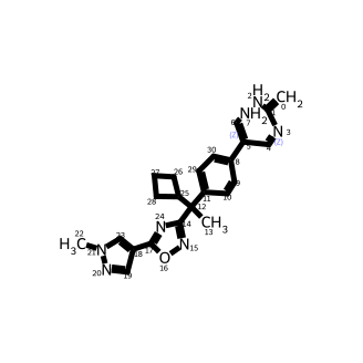 C=C(N)/N=C\C(=C/N)c1ccc(C(C)(c2noc(-c3cnn(C)c3)n2)C2CCC2)cc1